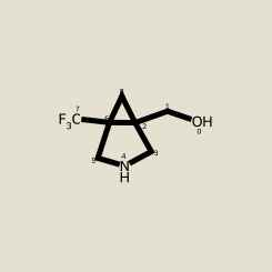 OCC12CNCC1(C(F)(F)F)C2